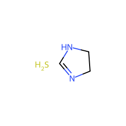 C1=NCCN1.S